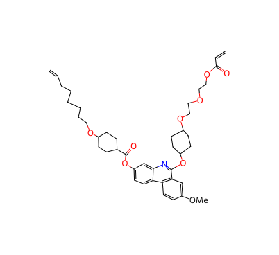 C=CCCCCCCOC1CCC(C(=O)Oc2ccc3c(c2)nc(OC2CCC(OCCOCCOC(=O)C=C)CC2)c2cc(OC)ccc23)CC1